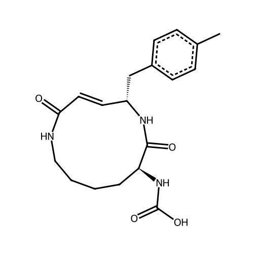 Cc1ccc(C[C@H]2/C=C/C(=O)NCCCC[C@H](NC(=O)O)C(=O)N2)cc1